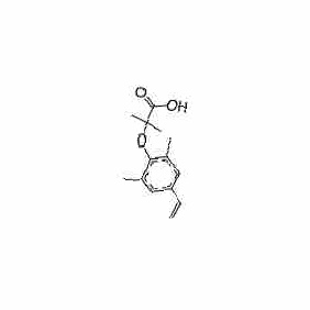 C=Cc1cc(C)c(OC(C)(C)C(=O)O)c(C)c1